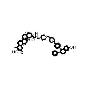 CC1=C(O)C(=O)C=C2C1=CC=C1[C@@]2(C)CC[C@@]2(C)[C@@H]3C[C@](C)(C(=O)NCN4CCN(CC5CCN(c6ccc([C@H]7c8ccc(O)cc8CC[C@H]7c7ccccc7)cc6)CC5)CC4)CC[C@]3(C)CC[C@]12C